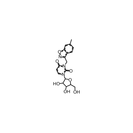 Cc1ccc2c(Cn3c(=O)ccn(C4OC(CO)C(O)C4O)c3=O)noc2c1